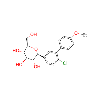 CCOc1ccc(-c2cc([C@@H]3O[C@H](CO)[C@@H](O)[C@H](O)[C@H]3O)ccc2Cl)cc1